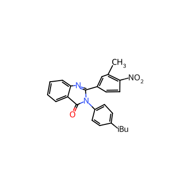 CCC(C)c1ccc(-n2c(-c3ccc([N+](=O)[O-])c(C)c3)nc3ccccc3c2=O)cc1